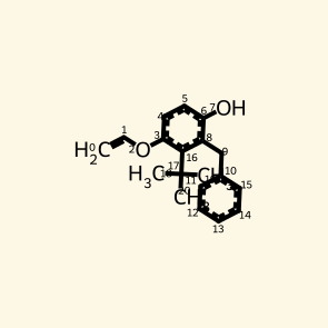 C=COc1ccc(O)c(Cc2ccccc2)c1C(C)(C)C